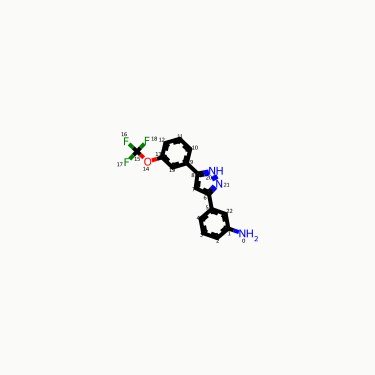 Nc1cccc(-c2cc(-c3cccc(OC(F)(F)F)c3)[nH]n2)c1